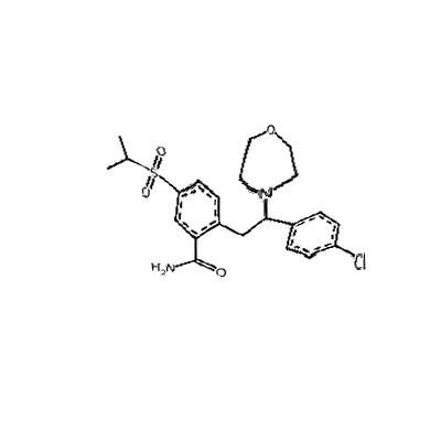 CC(C)S(=O)(=O)c1ccc(CC(c2ccc(Cl)cc2)N2CCOCC2)c(C(N)=O)c1